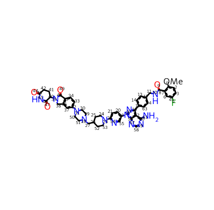 COc1ccc(F)cc1C(=O)NCc1ccc(-c2nn(-c3ccc(N4CCC(CN5CCN(c6ccc7c(c6)CN(C6CCC(=O)NC6=O)C7=O)CC5)CC4)nc3)c3ncnc(N)c23)cc1